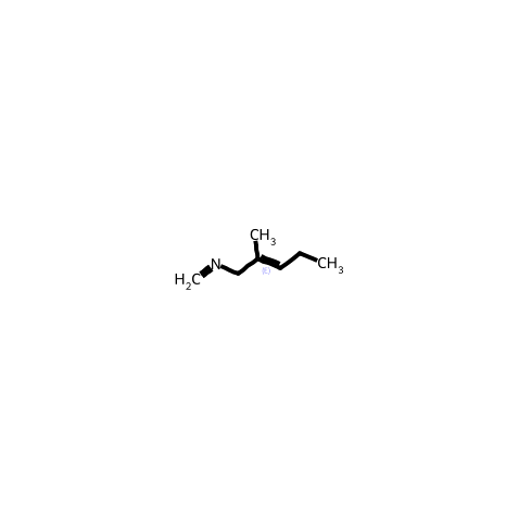 C=NC/C(C)=C/CC